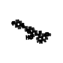 COc1ccc2nccc([C@@H](F)CC[C@@H]3CCN(CCCSc4ccc(F)cc4)C[C@@H]3CO)c2c1